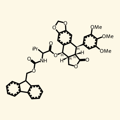 COc1cc([C@@H]2c3cc4c(cc3[C@H](OC(=O)C(NC(=O)OCC3c5ccccc5-c5ccccc53)C(C)C)[C@H]3COC(=O)[C@@H]23)OCO4)cc(OC)c1OC